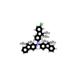 CCCCC1(CCCC)c2ccccc2-c2ccc(N(c3ccc4c(c3)C(CCCC)(CCCC)c3ccccc3-4)c3ccc4c(c3)C(CCCC)(CCCC)c3cc(Br)ccc3-4)cc21